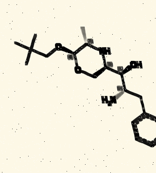 C[C@@H]1N[C@@H]([C@@H](O)[C@@H](N)Cc2ccccc2)CO[C@H]1OCC(C)(C)C